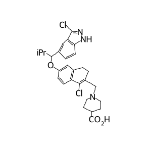 CC(C)C(Oc1ccc2c(c1)CCC(CN1CCC(C(=O)O)CC1)=C2Cl)c1ccc2[nH]nc(Cl)c2c1